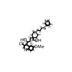 COc1ccc2ncc(Cl)c([C@@H](O)CCC3(CO)CCN(CCCSc4cccnc4)CC3)c2c1